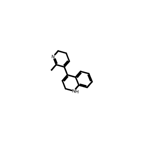 CC1=NCCC=C1C1=CCNc2ccccc21